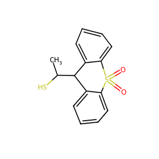 CC(S)C1c2ccccc2S(=O)(=O)c2ccccc21